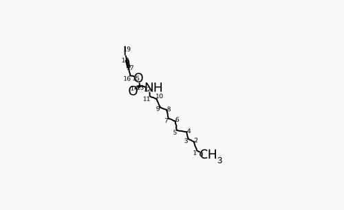 CCCCCCCCCCCCNC(=O)OCC#CI